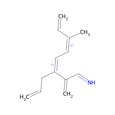 C=CC/C(=C/C=C(/C)C=C)C(=C)C=N